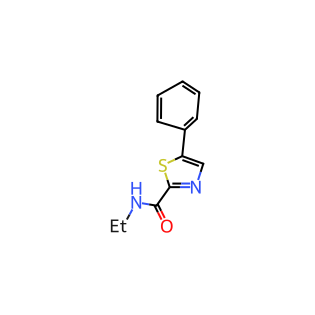 CCNC(=O)c1ncc(-c2ccccc2)s1